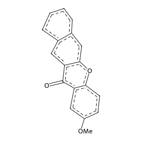 COc1ccc2oc3cc4ccccc4cc3c(=O)c2c1